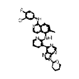 Cc1ccc2c(Nc3ccc(F)c(Cl)c3)nccc2c1Nc1ncccc1-c1ncnc2c1ncn2C1CCCCO1